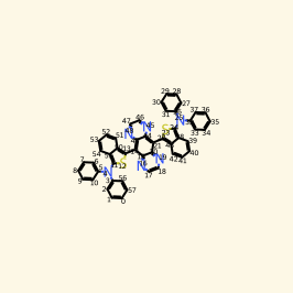 c1ccc(N(c2ccccc2)c2sc(-c3c4nccnc4c(-c4sc(N(c5ccccc5)c5ccccc5)c5ccccc45)c4nccnc34)c3ccccc23)cc1